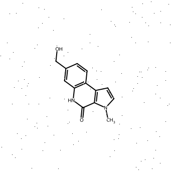 Cn1ccc2c3ccc(CO)cc3[nH]c(=O)c21